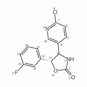 O=C1NC(c2ccc(Cl)nc2)[C@@H](c2cccc(F)c2)O1